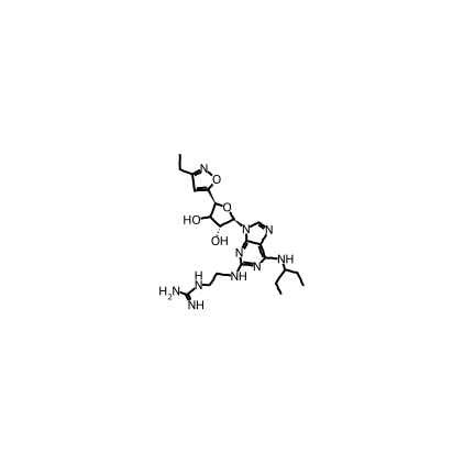 CCc1cc([C@H]2O[C@@H](n3cnc4c(NC(CC)CC)nc(NCCNC(=N)N)nc43)[C@H](O)C2O)on1